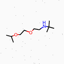 CC(C)OCCOCCNC(C)(C)C